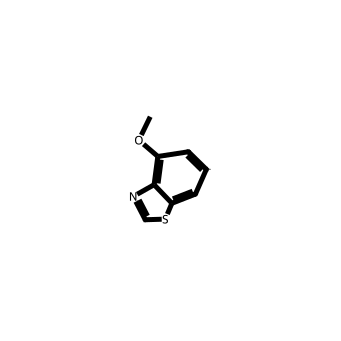 COc1c[c]cc2scnc12